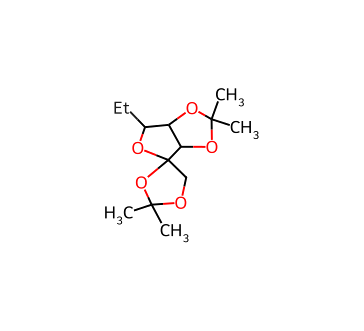 CCC1OC2(COC(C)(C)O2)C2OC(C)(C)OC12